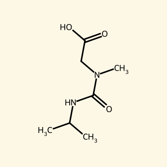 CC(C)NC(=O)N(C)CC(=O)O